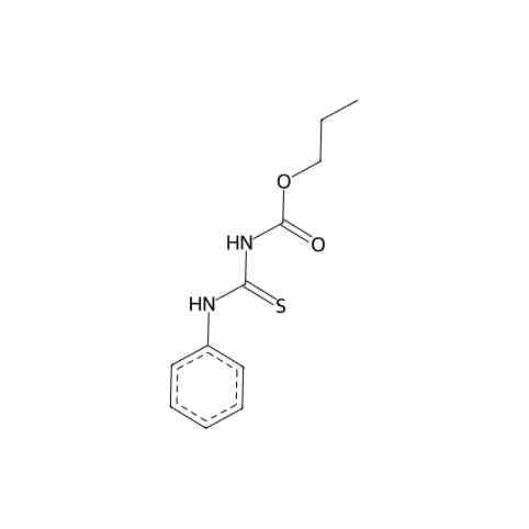 CCCOC(=O)NC(=S)Nc1ccccc1